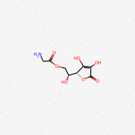 NCC(=O)OC[C@H](O)[C@H]1OC(=O)C(O)=C1O